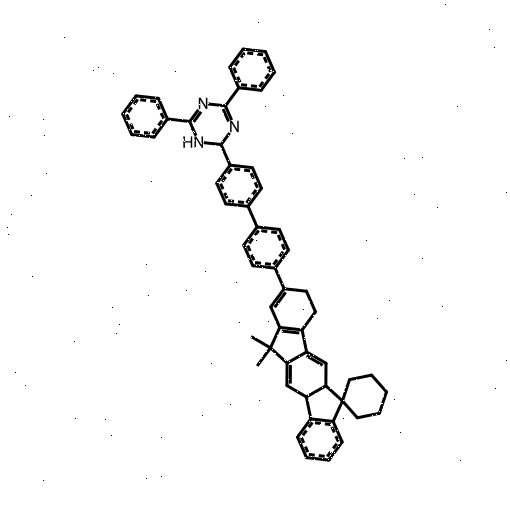 CC1(C)C2=CC3c4ccccc4C4(CCCCC4)C3C=C2C2=C1C=C(c1ccc(-c3ccc(C4N=C(c5ccccc5)N=C(c5ccccc5)N4)cc3)cc1)CC2